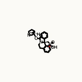 O=C(O[C@H]1CN2CCC1CC2)N1CCc2ccccc2[C@@]1(CS(=O)(=O)O)c1ccccc1